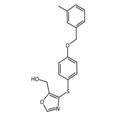 Cc1cccc(COc2ccc(Sc3ncoc3CO)cc2)c1